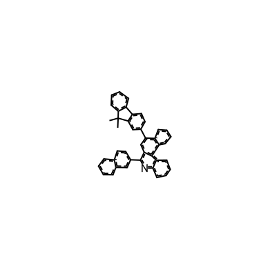 CC1(C)c2ccccc2-c2ccc(-c3cc4c(-c5ccc6ccccc6c5)nc5ccccc5c4c4ccccc34)cc21